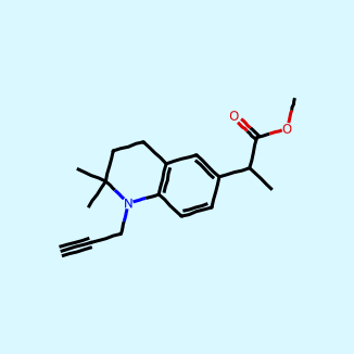 C#CCN1c2ccc(C(C)C(=O)OC)cc2CCC1(C)C